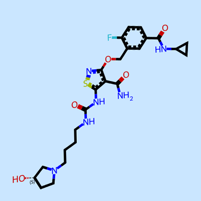 NC(=O)c1c(OCc2cc(C(=O)NC3CC3)ccc2F)nsc1NC(=O)NCCCCN1CC[C@H](O)C1